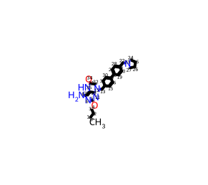 CCCCOc1nc(N)c2c(n1)N(CC1C=CC(c3ccc(CN4CCCC4)cc3)=CC1)CC(=O)N2